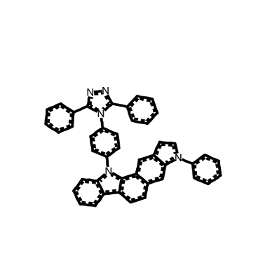 c1ccc(-c2nnc(-c3ccccc3)n2-c2ccc(-n3c4ccccc4c4ccc5cc6c(ccn6-c6ccccc6)cc5c43)cc2)cc1